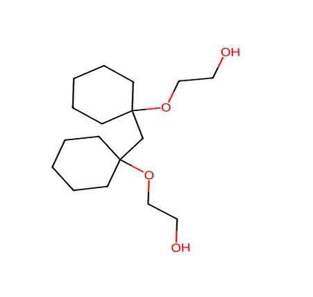 OCCOC1(CC2(OCCO)CCCCC2)CCCCC1